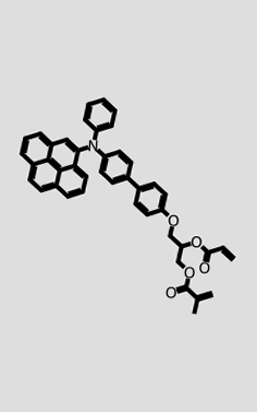 C=CC(=O)OC(COC(=O)C(=C)C)COc1ccc(-c2ccc(N(c3ccccc3)c3cc4cccc5ccc6cccc3c6c54)cc2)cc1